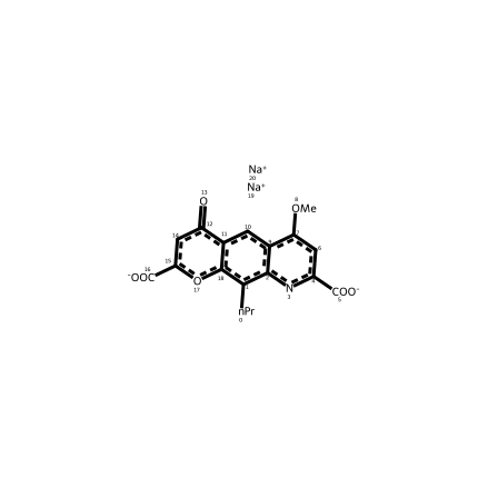 CCCc1c2nc(C(=O)[O-])cc(OC)c2cc2c(=O)cc(C(=O)[O-])oc12.[Na+].[Na+]